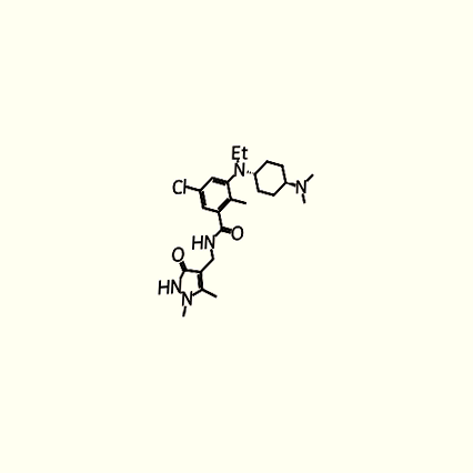 CCN(c1cc(Cl)cc(C(=O)NCc2c(C)n(C)[nH]c2=O)c1C)[C@H]1CC[C@H](N(C)C)CC1